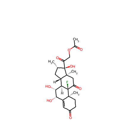 CC(=O)OCC(=O)[C@@]1(O)[C@@H](C)C[C@H]2[C@@H]3[C@@H](O)[C@@H](O)C4=CC(=O)CC[C@]4(C)[C@@]3(F)C(=O)C[C@@]21C